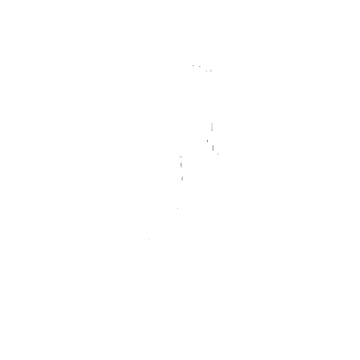 COc1c(C)cc(C23CCC(C=O)(CC2)CC3)cc1F